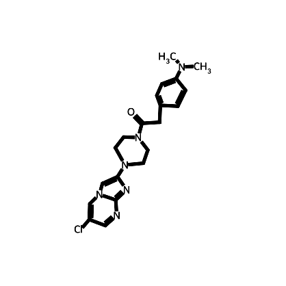 CN(C)c1ccc(CC(=O)N2CCN(c3cn4cc(Cl)cnc4n3)CC2)cc1